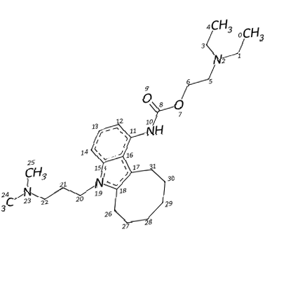 CCN(CC)CCOC(=O)Nc1cccc2c1c1c(n2CCCN(C)C)CCCCCC1